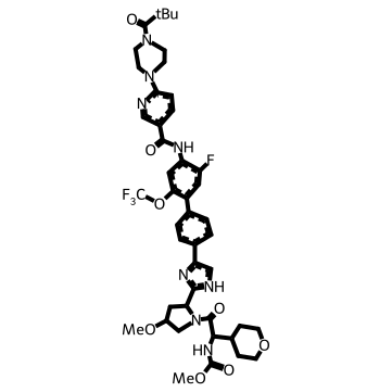 COC(=O)NC(C(=O)N1CC(OC)CC1c1nc(-c2ccc(-c3cc(F)c(NC(=O)c4ccc(N5CCN(C(=O)C(C)(C)C)CC5)nc4)cc3OC(F)(F)F)cc2)c[nH]1)C1CCOCC1